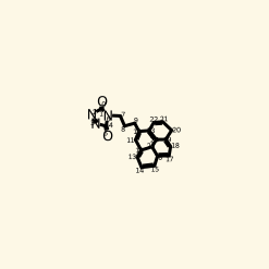 O=C1N=NC(=O)N1CCCC1=CC2=CC=CC3=CC=C4CC=CC1=C4C32